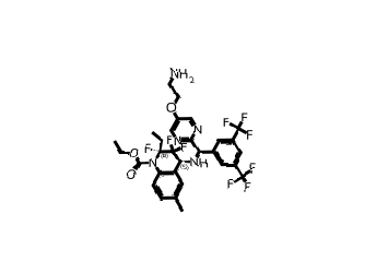 CCOC(=O)N1c2ccc(C)cc2[C@H](NC(c2cc(C(F)(F)F)cc(C(F)(F)F)c2)c2ncc(OCCN)cn2)C(F)(F)[C@]1(F)CC